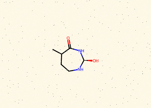 CC1CCN[C@H](O)NC1=O